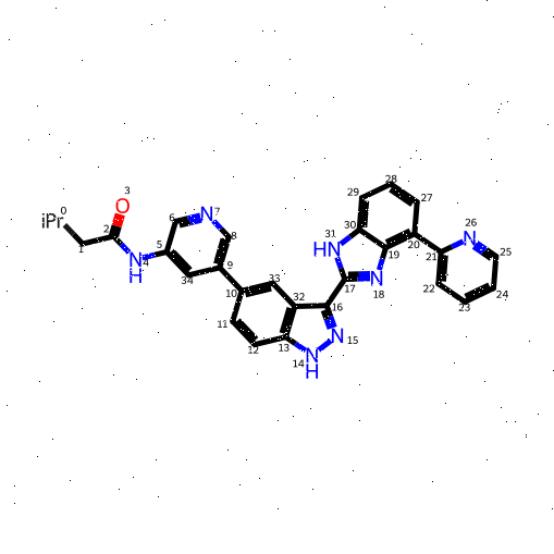 CC(C)CC(=O)Nc1cncc(-c2ccc3[nH]nc(-c4nc5c(-c6ccccn6)cccc5[nH]4)c3c2)c1